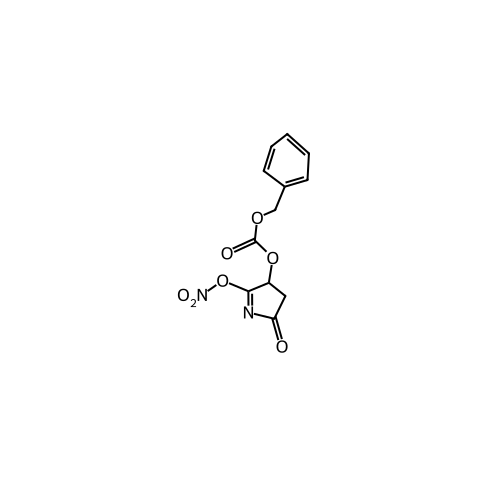 O=C1CC(OC(=O)OCc2ccccc2)C(O[N+](=O)[O-])=N1